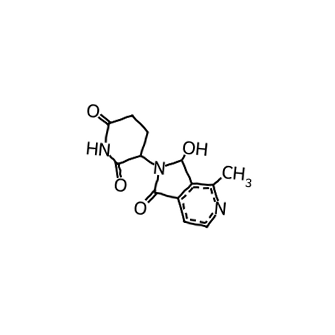 Cc1nccc2c1C(O)N(C1CCC(=O)NC1=O)C2=O